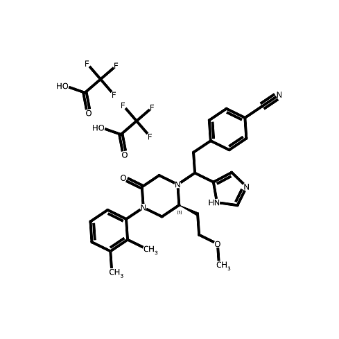 COCC[C@H]1CN(c2cccc(C)c2C)C(=O)CN1C(Cc1ccc(C#N)cc1)c1cnc[nH]1.O=C(O)C(F)(F)F.O=C(O)C(F)(F)F